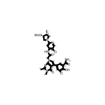 CO[C@H]1CN(c2cc(NC(=O)Cn3cc(-c4cc(Cl)c(O)c(C(N)=O)c4)c4c(=O)n(C)c(C)nc43)c(Cl)cn2)C[C@H]1F